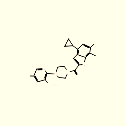 COc1cc(F)cnc1N1CCN(C(=O)c2cc3c(C4CC4)cc(Cl)c(F)c3[nH]2)CC1